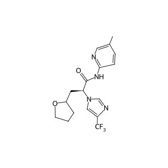 Cc1ccc(NC(=O)[C@H](CC2CCCO2)n2cnc(C(F)(F)F)c2)nc1